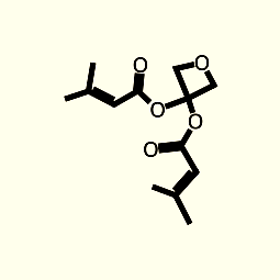 CC(C)=CC(=O)OC1(OC(=O)C=C(C)C)COC1